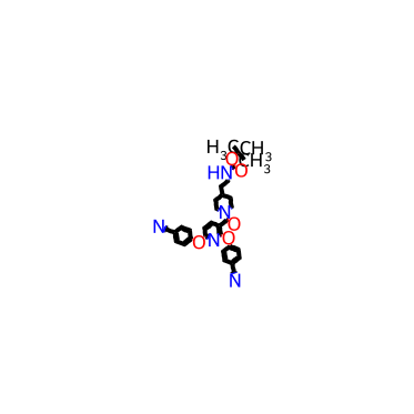 CC(C)(C)OC(=O)NCCC1CCN(C(=O)c2ccc(Oc3ccc(C#N)cc3)nc2Oc2ccc(C#N)cc2)CC1